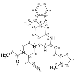 C=CC(=O)N1CCN(C2NC(OCC3CCCN3C)NC3C[C@@]4(CCC32)Oc2ccccc2C4C)CC1CC#N